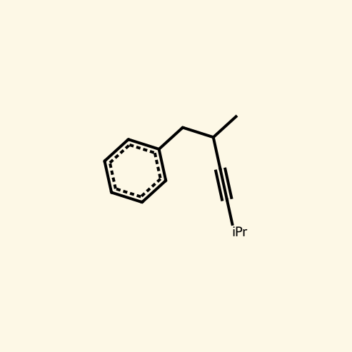 CC(C)C#CC(C)Cc1ccccc1